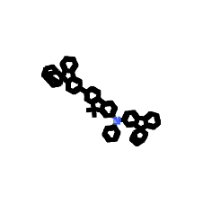 CC1(C)c2cc(-c3ccc4c(c3)-c3ccccc3C43C4CC5CC(C4)CC3C5)ccc2-c2ccc(N(c3ccccc3)c3ccc4c(c3)C3(CC5CCC3C5)c3ccccc3-4)cc21